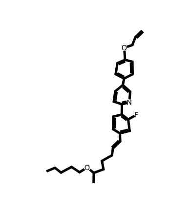 C=CCOc1ccc(-c2ccc(-c3ccc(C=CCCCC(C)OCCCCC)cc3F)nc2)cc1